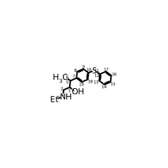 CCNCC(O)C(C)c1ccc(Sc2ccccc2)cc1